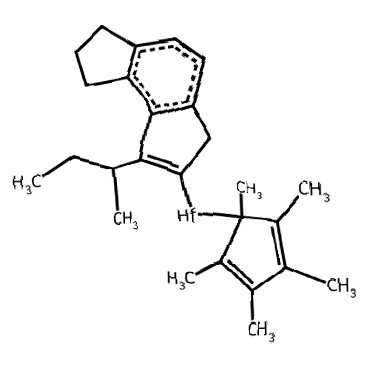 CCC(C)C1=[C]([Hf][C]2(C)C(C)=C(C)C(C)=C2C)Cc2ccc3c(c21)CCC3